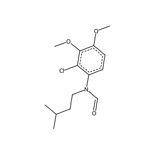 COc1ccc(N(C=O)CCC(C)C)c(Cl)c1OC